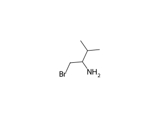 CC(C)C(N)CBr